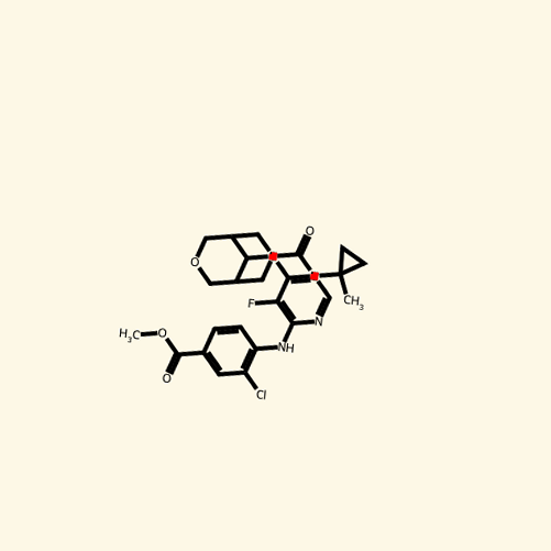 COC(=O)c1ccc(Nc2ncnc(OC3C4COCC3CN(C(=O)OC3(C)CC3)C4)c2F)c(Cl)c1